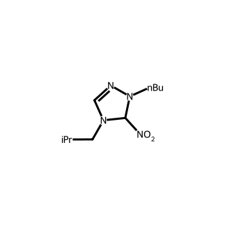 CCCCN1N=CN(CC(C)C)C1[N+](=O)[O-]